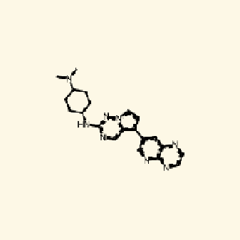 CN(C)[C@H]1CC[C@@H](Nc2ncc3c(-c4cnc5nccnc5c4)ccn3n2)CC1